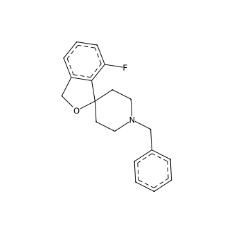 Fc1cccc2c1C1(CCN(Cc3ccccc3)CC1)OC2